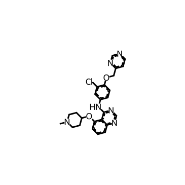 CN1CCC(Oc2cccc3ncnc(Nc4ccc(OCc5ccncn5)c(Cl)c4)c23)CC1